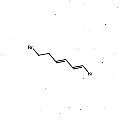 BrC=CC=CCCBr